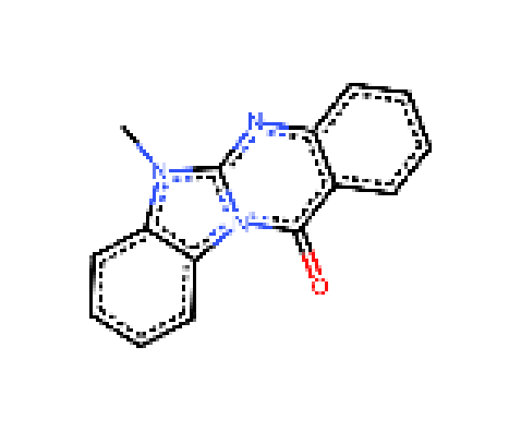 Cn1c2ccccc2n2c(=O)c3ccccc3nc12